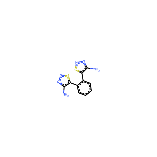 Nc1nnsc1-c1ccccc1-c1snnc1N